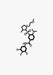 COCC[C@@H]1CCC(C)C1S(=O)(=O)c1cc(C(=O)Nc2cc(F)c(F)c(F)c2)ccc1N(C)C